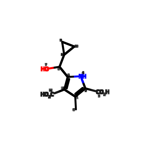 Cc1c(C(=O)O)[nH]c(C(O)C2CC2)c1C(=O)O